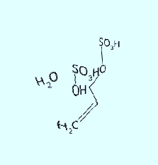 C=CCOS(=O)(=O)O.O.O=S(=O)(O)O